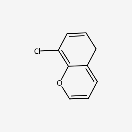 ClC1=C2OC=CC=C2CC=C1